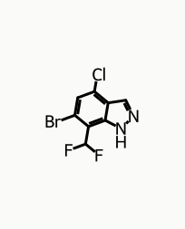 FC(F)c1c(Br)cc(Cl)c2cn[nH]c12